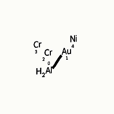 [AlH2][Au].[Cr].[Cr].[Ni]